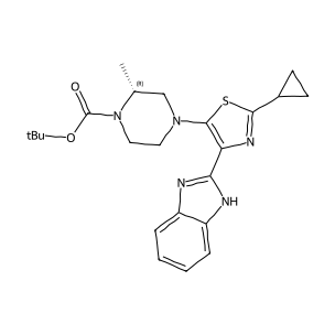 C[C@@H]1CN(c2sc(C3CC3)nc2-c2nc3ccccc3[nH]2)CCN1C(=O)OC(C)(C)C